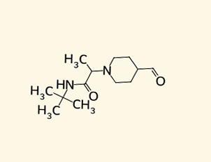 CC(C(=O)NC(C)(C)C)N1CCC(C=O)CC1